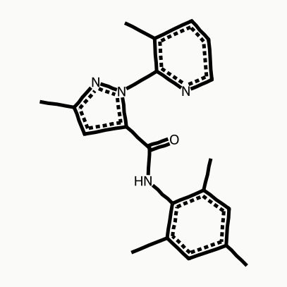 Cc1cc(C)c(NC(=O)c2cc(C)nn2-c2ncccc2C)c(C)c1